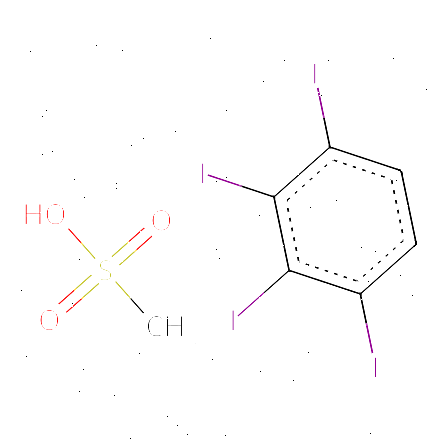 CS(=O)(=O)O.Ic1ccc(I)c(I)c1I